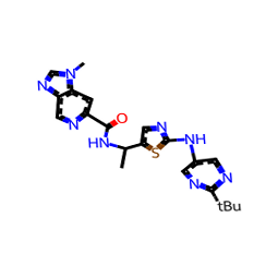 CC(NC(=O)c1cc2c(cn1)ncn2C)c1cnc(Nc2cnc(C(C)(C)C)nc2)s1